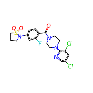 O=C(c1ccc(N2CCCS2(=O)=O)cc1F)N1CCN(c2ncc(Cl)cc2Cl)CC1